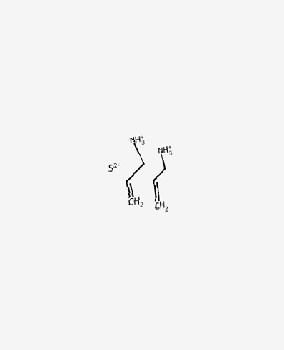 C=CC[NH3+].C=CC[NH3+].[S-2]